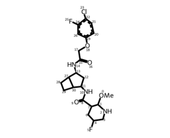 COC1NCC(F)CC1C(=O)NC1C[C@H](NC(=O)COc2ccc(Cl)c(F)c2)C2CCC12